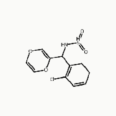 O=[SH](=O)NC(C1=COC=CO1)C1=C(Cl)C=CCC1